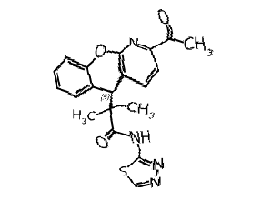 CC(=O)c1ccc2c(n1)Oc1ccccc1[C@@H]2C(C)(C)C(=O)Nc1nncs1